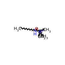 CCCCCCCCCCCCNC(=O)CC[N+](CCCC)(CCCC)CCCC